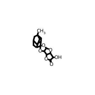 CC12CC3CC(C1)C1(OC4OC5C(O)C(=O)OC5C4O1)C(C3)C2